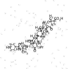 CC(C)C1=C2[C@H]3CC[C@@H]4[C@@]5(C)CC[C@H](OC(=O)[C@H]6C[C@@H](C(=O)O)C6(C)C)C(C)(C)[C@@H]5CC[C@@]4(C)[C@]3(C)CC[C@@]2([C@@H](O)CNCC(C)(C)NC(=O)C2CCNCC2)CC1=O